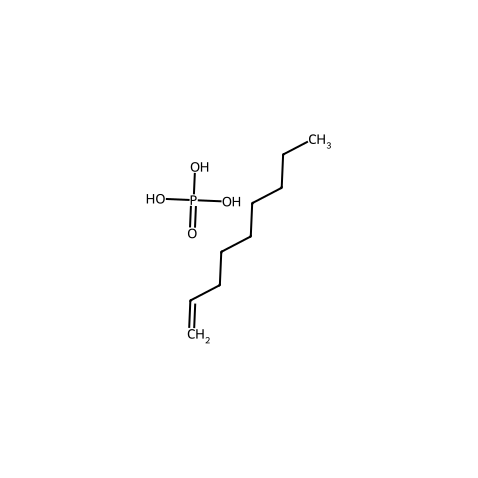 C=CCCCCCCC.O=P(O)(O)O